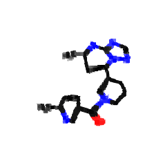 Cc1ccc(C(=O)N2CCCC(c3cc(C)nc4ncnn34)C2)cn1